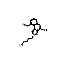 CC(C)Cc1cccc2nc(N)c3nn(CCCCN)cc3c12